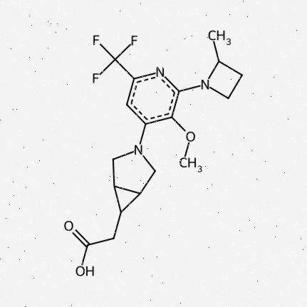 COc1c(N2CC3C(CC(=O)O)C3C2)cc(C(F)(F)F)nc1N1CCC1C